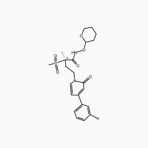 C[C@@](CCn1ccc(-c2cccc(F)c2)cc1=O)(C(=O)NOC1CCCCO1)S(C)(=O)=O